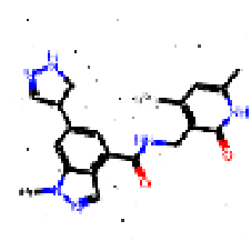 CCCc1cc(C)[nH]c(=O)c1CNC(=O)c1cc(C2C=NNC2)cc2c1cnn2C(C)C